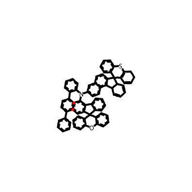 C1=CC2c3c(ccc4cc(N(c5ccccc5-c5ccc(-c6ccccc6)cc5)c5cccc6c5-c5ccccc5C65c6ccccc6Oc6ccccc65)ccc34)C3(C4=C(CCC=C4)Sc4ccccc43)C2C=C1